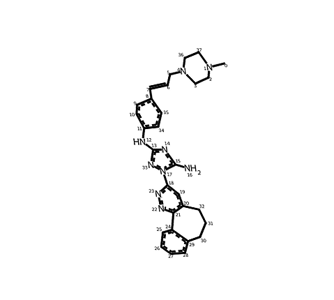 CN1CCN(CC=Cc2ccc(Nc3nc(N)n(-c4cc5c(nn4)-c4ccccc4CCC5)n3)cc2)CC1